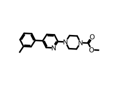 COC(=O)N1CCN(c2ccc(-c3cccc(C)c3)cn2)CC1